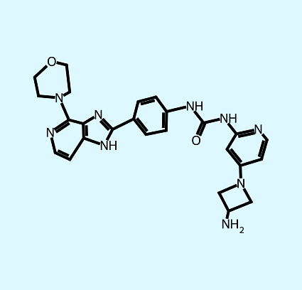 NC1CN(c2ccnc(NC(=O)Nc3ccc(-c4nc5c(N6CCOCC6)nccc5[nH]4)cc3)c2)C1